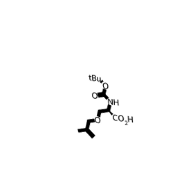 C=C(C)COC[C@@H](NC(=O)OC(C)(C)C)C(=O)O